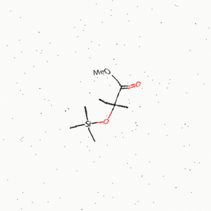 COC(=O)C(C)(C)O[Si](C)(C)C